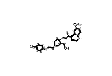 COc1ccc2nccc([C@@H](F)CC[C@@H]3CCN(CCSc4ccc(Cl)cc4)C[C@@H]3CO)c2c1